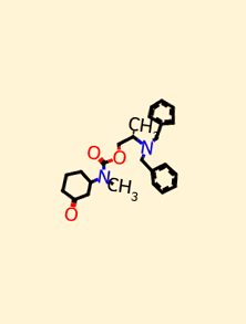 C[C@@H](COC(=O)N(C)C1CCCC(=O)C1)N(Cc1ccccc1)Cc1ccccc1